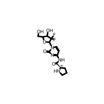 O=C(Nc1ccn(C2OC(CO)C(O)C2(F)F)c(=O)n1)[C@H]1CCCN1